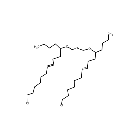 CCCCC(CCC=CCCCCCCCl)OCOCOC(CCC=CCCCCCCCl)CCCC